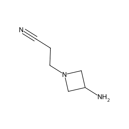 N#CCCN1CC(N)C1